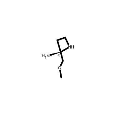 COC[C@]1([SiH3])CCN1